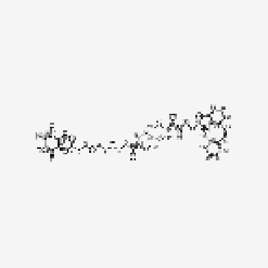 O=C(CCOCCOCCC(=O)N1CCC2(CCC(C(=O)NCCC(=O)N3Cc4ccccc4C#Cc4ccccc43)CC2)CC1)Oc1c(F)c(F)c(F)c(F)c1F